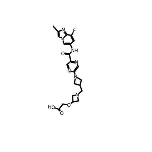 Cc1cn2cc(NC(=O)c3cnc(N4CC(CN5CC(OCC(=O)O)C5)C4)cn3)cc(F)c2n1